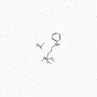 CC(C)=O.CO[Si](CCCNc1ccccc1)(OC)OC